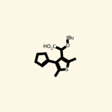 Cc1sc(C)c(C(OC(C)(C)C)C(=O)O)c1C1=CCCC1